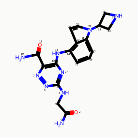 NC(=O)CNc1nnc(C(N)=O)c(Nc2cccc3c2ccn3C2CNC2)n1